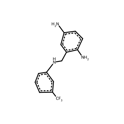 Nc1ccc(N)c(CNc2cccc(C(F)(F)F)c2)c1